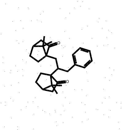 CC1(C)C2CCC1(CC(Cc1ccccc1)C13CCC(CC1=O)C3(C)C)C(=O)C2